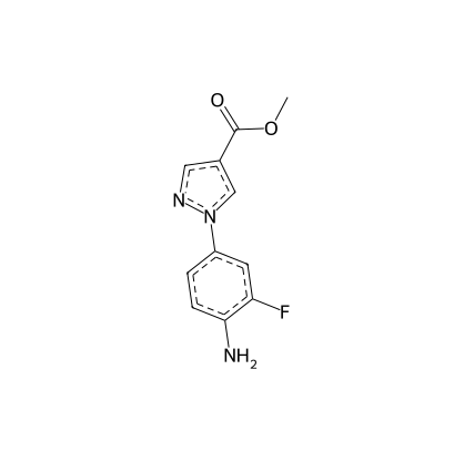 COC(=O)c1cnn(-c2ccc(N)c(F)c2)c1